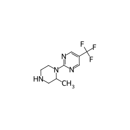 CC1CNCCN1c1ncc(C(F)(F)F)cn1